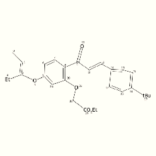 CC=C(CC)Oc1ccc(C(=O)C=Cc2ccc(C(C)(C)C)cc2)c(OCC(=O)OCC)c1